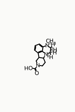 [2H]C1([2H])N(C)c2cccc3c2N(C2CCN(C(=O)O)CC32)C1([2H])[2H]